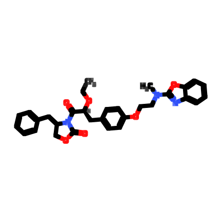 CN(CCOc1ccc(C[C@H](OCC(F)(F)F)C(=O)N2C(=O)OCC2Cc2ccccc2)cc1)c1nc2ccccc2o1